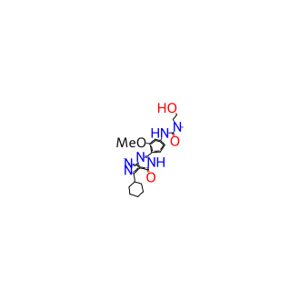 COc1cc(NC(=O)N(C)CCO)ccc1-c1nc2c(c(C3CCCCC3)nn2C)c(=O)[nH]1